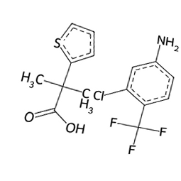 CC(C)(C(=O)O)c1cccs1.Nc1ccc(C(F)(F)F)c(Cl)c1